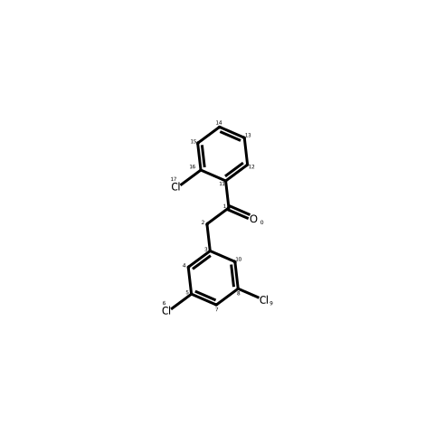 O=C(Cc1cc(Cl)cc(Cl)c1)c1ccccc1Cl